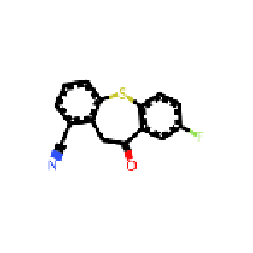 N#Cc1cccc2c1CC(=O)c1cc(F)ccc1S2